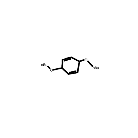 CCCCOC1C=CC(OCCCC)C=C1